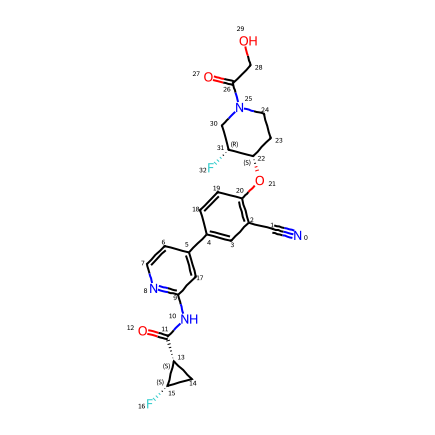 N#Cc1cc(-c2ccnc(NC(=O)[C@@H]3C[C@@H]3F)c2)ccc1O[C@H]1CCN(C(=O)CO)C[C@H]1F